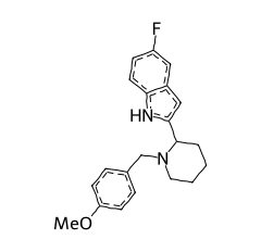 COc1ccc(CN2CCCCC2c2cc3cc(F)ccc3[nH]2)cc1